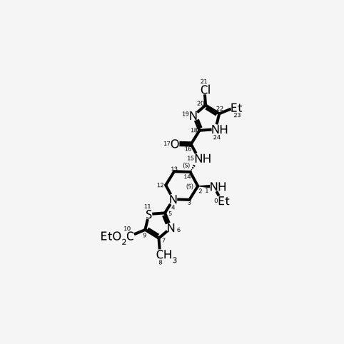 CCN[C@H]1CN(c2nc(C)c(C(=O)OCC)s2)CC[C@@H]1NC(=O)c1nc(Cl)c(CC)[nH]1